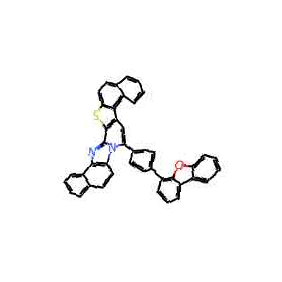 c1ccc2c(c1)ccc1c2nc2c3sc4ccc5ccccc5c4c3cc(-c3ccc(-c4cccc5c4oc4ccccc45)cc3)n12